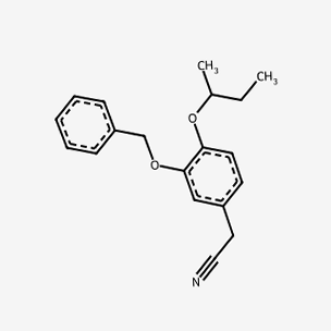 CCC(C)Oc1ccc(CC#N)cc1OCc1ccccc1